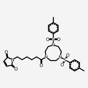 Cc1ccc(S(=O)(=O)N2CCN(C(=O)CCCCCN3C(=O)C=CC3=O)CCN(S(=O)(=O)c3ccc(C)cc3)CC2)cc1